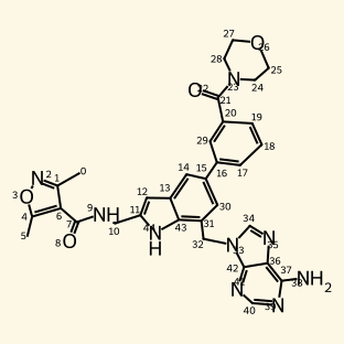 Cc1noc(C)c1C(=O)NCc1cc2cc(-c3cccc(C(=O)N4CCOCC4)c3)cc(Cn3cnc4c(N)ncnc43)c2[nH]1